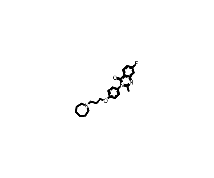 Cc1nc2cc(F)ccc2c(=O)n1-c1ccc(OCCCN2CCCCCC2)cc1